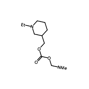 CCN1CCCC(COC(=O)OCNC)C1